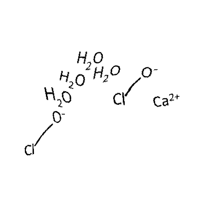 O.O.O.O.[Ca+2].[O-]Cl.[O-]Cl